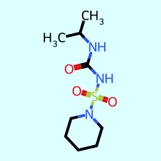 CC(C)NC(=O)NS(=O)(=O)N1CCCCC1